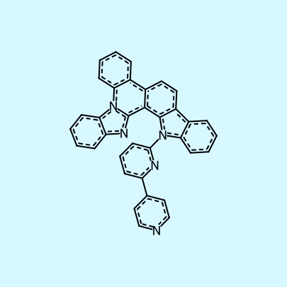 c1cc(-c2ccncc2)nc(-n2c3ccccc3c3ccc4c5ccccc5n5c6ccccc6nc5c4c32)c1